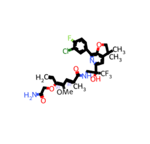 C=C/C(OCC(N)=O)=C(\C=C(/C)C(=O)NCC(O)(c1cc2c(c(-c3ccc(F)c(Cl)c3)n1)OCC2(C)C)C(F)(F)F)OC